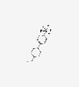 CCC1CC=C(c2ccc(S(F)(F)(F)(F)F)cc2)CC1